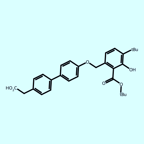 CC(C)(C)OC(=O)c1c(COc2ccc(-c3ccc(CC(=O)O)cc3)cc2)ccc(C(C)(C)C)c1O